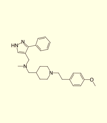 COc1ccc(CCN2CCC(CN(C)Cc3c[nH]nc3-c3ccccc3)CC2)cc1